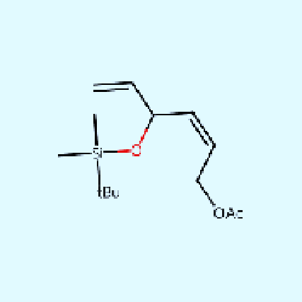 C=CC(/C=C\COC(C)=O)O[Si](C)(C)C(C)(C)C